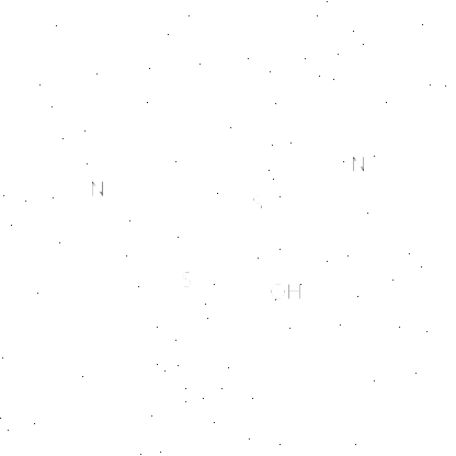 N#CSC(O)SC#N